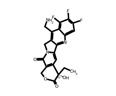 CC[C@@]1(O)C(=O)OCc2c1cc1n(c2=O)Cc2c-1nc1cc(F)c(F)c(F)c1c2CN